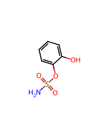 NS(=O)(=O)Oc1ccccc1O